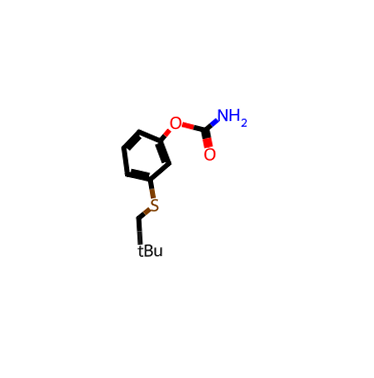 CC(C)(C)CSc1cccc(OC(N)=O)c1